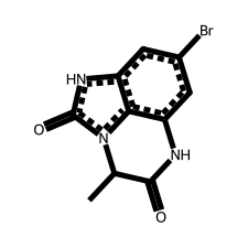 CC1C(=O)Nc2cc(Br)cc3[nH]c(=O)n1c23